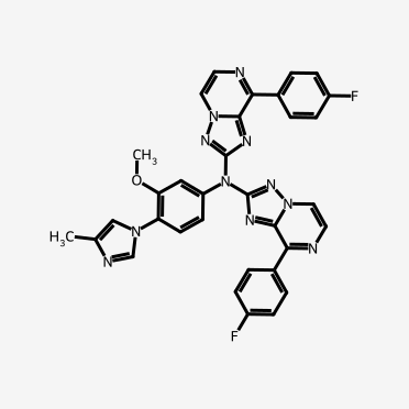 COc1cc(N(c2nc3c(-c4ccc(F)cc4)nccn3n2)c2nc3c(-c4ccc(F)cc4)nccn3n2)ccc1-n1cnc(C)c1